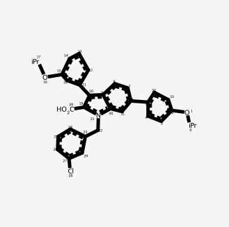 CC(C)Oc1ccc(-c2ccc3c(-c4cccc(OC(C)C)c4)c(C(=O)O)n(Cc4cccc(Cl)c4)c3c2)cc1